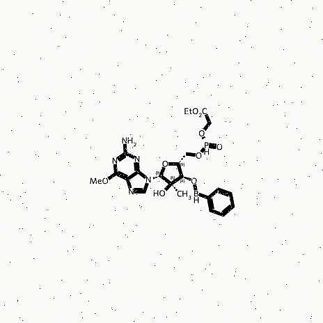 CCOC(=O)CO[PH](=O)OC[C@H]1O[C@@H](n2cnc3c(OC)nc(N)nc32)[C@](C)(O)[C@@H]1OBc1ccccc1